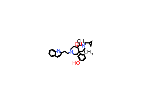 Cc1ccc(O)cc1C12CCN(CCc3ccc4ccccc4n3)CCC1(O)C(C)N(CC1CC1)CC2